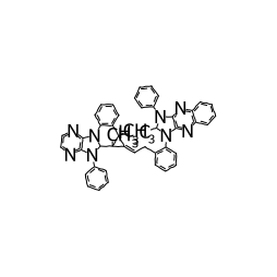 CC1N(c2ccccc2)c2nc3ccccc3nc2N1c1ccccc1C/C=C1\C2(C)c3ccccc3N3c4nccnc4N(c4ccccc4)C3C12C